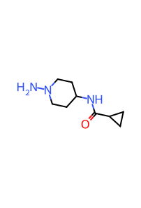 NN1CCC(NC(=O)C2CC2)CC1